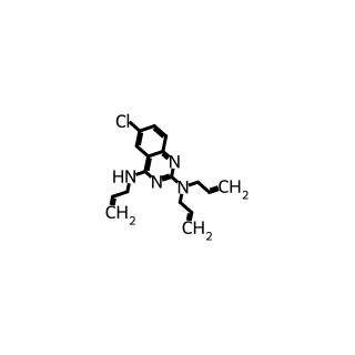 C=CCNc1nc(N(CC=C)CC=C)nc2ccc(Cl)cc12